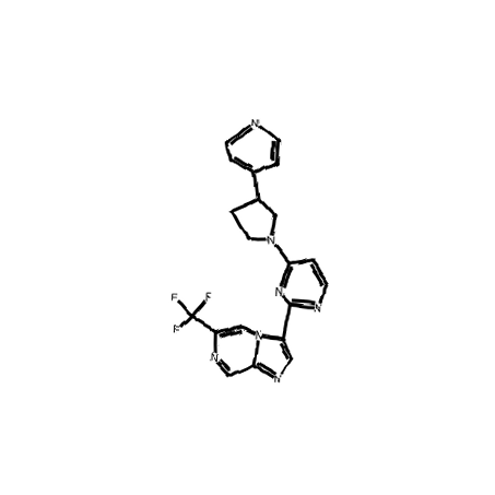 FC(F)(F)c1cn2c(-c3nccc(N4CCC(c5ccncc5)C4)n3)cnc2cn1